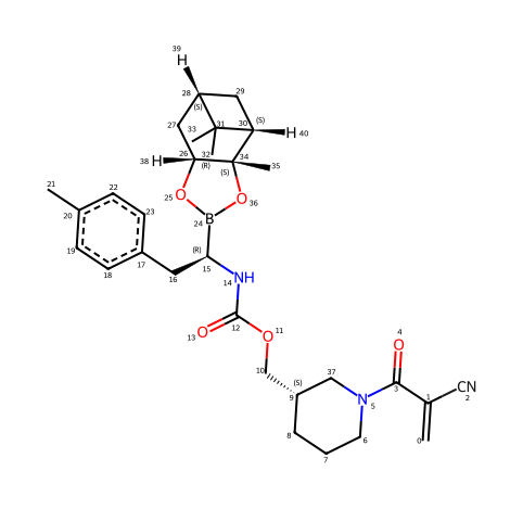 C=C(C#N)C(=O)N1CCC[C@H](COC(=O)N[C@@H](Cc2ccc(C)cc2)B2O[C@@H]3C[C@@H]4C[C@@H](C4(C)C)[C@]3(C)O2)C1